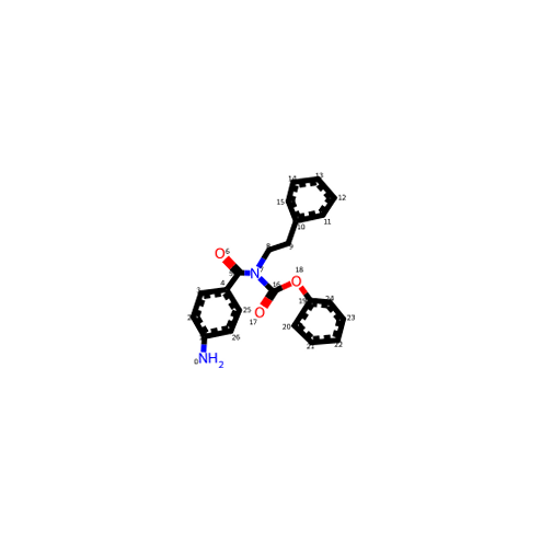 Nc1ccc(C(=O)N(CCc2ccccc2)C(=O)Oc2ccccc2)cc1